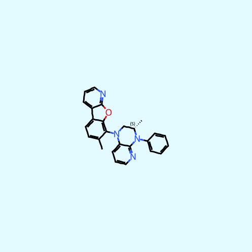 Cc1ccc2c(oc3ncccc32)c1N1C[C@H](C)N(c2ccccc2)c2ncccc21